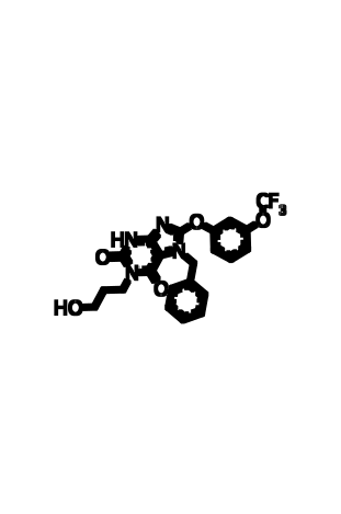 O=c1[nH]c2nc(Oc3cccc(OC(F)(F)F)c3)n(Cc3ccccc3)c2c(=O)n1CCCO